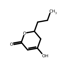 CCCC1CC(O)=CC(=O)O1